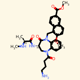 CN[C@@H](C)C(=O)N[C@H]1CN(C(=O)CCCN)c2ccccc2N(Cc2c(OC)ccc3cc(C(=O)OC)ccc23)C1=O